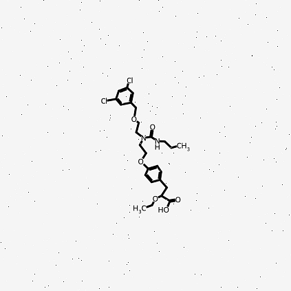 CCCNC(=O)N(CCOCc1cc(Cl)cc(Cl)c1)CCOc1ccc(CC(OCC)C(=O)O)cc1